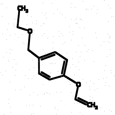 C=COc1ccc(COCC)cc1